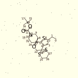 CCc1cc2c(s1)[C@]1(CCN(C(=O)OC(C)(C)C)[C@@H](C)C1)OCC21SCCCS1